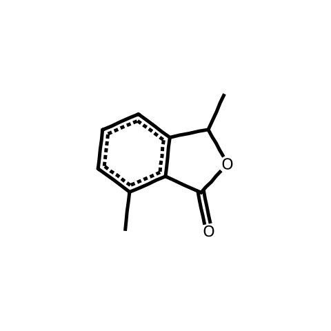 Cc1cccc2c1C(=O)OC2C